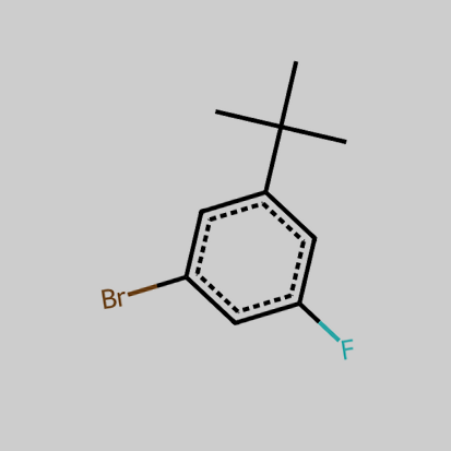 CC(C)(C)c1cc(F)cc(Br)c1